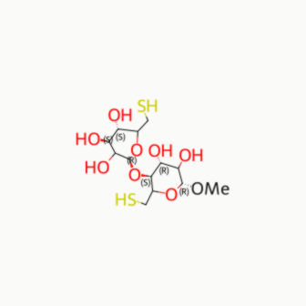 CO[C@@H]1OC(CS)[C@@H](O[C@@H]2OC(CS)[C@@H](O)[C@H](O)C2O)[C@H](O)C1O